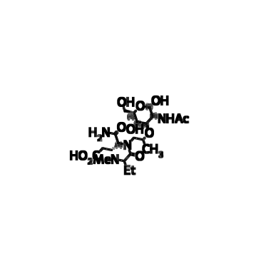 CCC(NC)C(=O)N(CC(C)O[C@H]1[C@H](O)[C@@H](CO)O[C@H](O)[C@@H]1NC(C)=O)[C@H](CCC(=O)O)C(N)=O